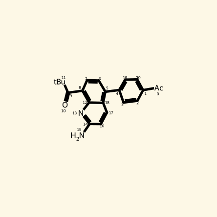 CC(=O)c1ccc(-c2ccc(C(=O)C(C)(C)C)c3nc(N)ccc23)cc1